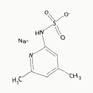 Cc1cc(C)nc(NS(=O)(=O)[O-])c1.[Na+]